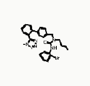 CCCCN(Cc1ccc(-c2ccccc2-c2nnn[nH]2)cc1)C(=O)Nc1ccccc1Br